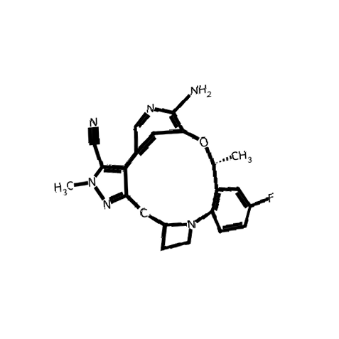 C[C@H]1Oc2cc(cnc2N)-c2c(nn(C)c2C#N)CC2CCN2c2ccc(F)cc21